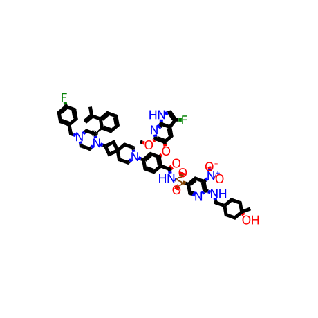 C=C(C)c1ccccc1[C@@H]1CN(Cc2ccc(F)cc2)CCN1C1CC2(CCN(c3ccc(C(=O)NS(=O)(=O)c4cnc(NCC5CCC(C)(O)CC5)c([N+](=O)[O-])c4)c(Oc4cc5c(F)c[nH]c5nc4OC)c3)CC2)C1